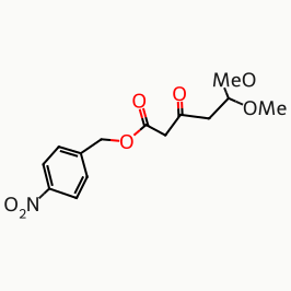 COC(CC(=O)CC(=O)OCc1ccc([N+](=O)[O-])cc1)OC